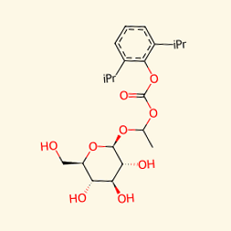 CC(OC(=O)Oc1c(C(C)C)cccc1C(C)C)O[C@@H]1O[C@H](CO)[C@@H](O)[C@H](O)[C@H]1O